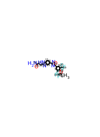 CC(Oc1ccc(-c2nc(-c3ccc4[nH]c(CCC(N)=O)nc4c3)no2)cc1C(F)(F)F)C(F)(F)F